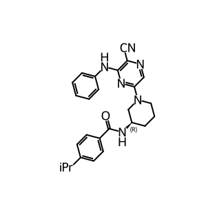 CC(C)c1ccc(C(=O)N[C@@H]2CCCN(c3cnc(C#N)c(Nc4ccccc4)n3)C2)cc1